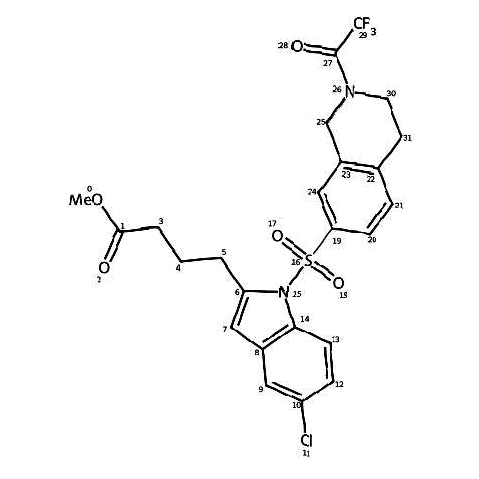 COC(=O)CCCc1cc2cc(Cl)ccc2n1S(=O)(=O)c1ccc2c(c1)CN(C(=O)C(F)(F)F)CC2